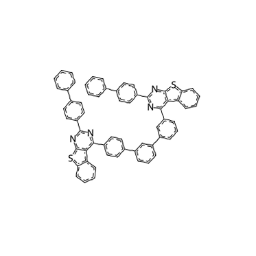 c1ccc(-c2ccc(-c3nc(-c4ccc(-c5cccc(-c6cccc(-c7nc(-c8ccc(-c9ccccc9)cc8)nc8sc9ccccc9c78)c6)c5)cc4)c4c(n3)sc3ccccc34)cc2)cc1